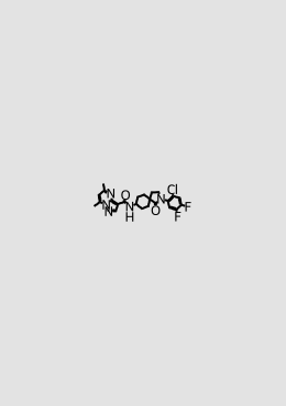 Cc1cc(C)n2ncc(C(=O)NC3CCC4(CC3)CCN(c3cc(F)c(F)cc3Cl)C4=O)c2n1